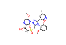 COc1cnc([C@H](O)[C@@H](C)S(=O)(=O)Cc2nnc(-c3cncc(C)c3)n2-c2c(OC)cccc2OC)cn1